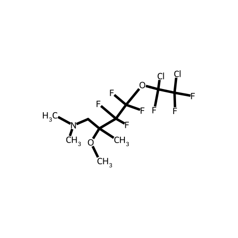 COC(C)(CN(C)C)C(F)(F)C(F)(F)OC(F)(Cl)C(F)(F)Cl